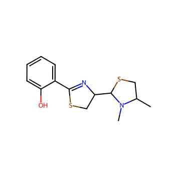 CC1CSC(C2CSC(c3ccccc3O)=N2)N1C